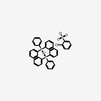 O=S(=O)([O-])c1ccccc1Cl.c1ccc(P(=[N+]=P(c2ccccc2)(c2ccccc2)c2ccccc2)(c2ccccc2)c2ccccc2)cc1